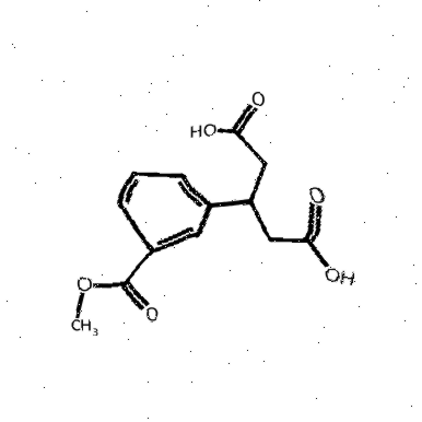 COC(=O)c1cccc(C(CC(=O)O)CC(=O)O)c1